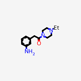 CCN1CCN(C(=O)Cc2cccc(N)c2)CC1